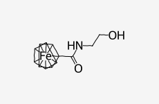 O=C(NCCO)[C]12[CH]3[CH]4[CH]5[CH]1[Fe]45321678[CH]2[CH]1[CH]6[CH]7[CH]28